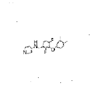 Cc1ccc(Oc2c(F)ccc(CNc3ccncc3)c2F)cc1C